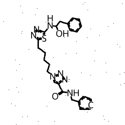 O=C(NCc1ccccc1)c1cn(CCCCCc2nnc(NC(O)Cc3ccccc3)s2)nn1